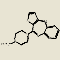 CCOC(=O)N1CCN(C2=Nc3ccccc3Nc3ccsc32)CC1